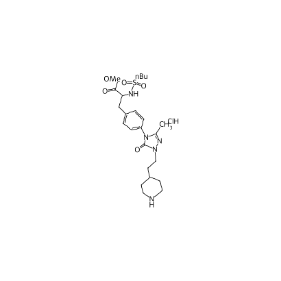 CCCCS(=O)(=O)NC(Cc1ccc(-n2c(C)nn(CCC3CCNCC3)c2=O)cc1)C(=O)OC.Cl